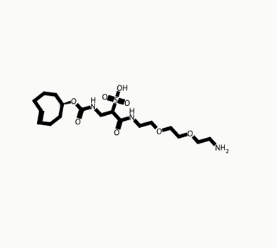 NCCOCCOCCNC(=O)C(CNC(=O)O[C@H]1CC/C=C/CCC1)S(=O)(=O)O